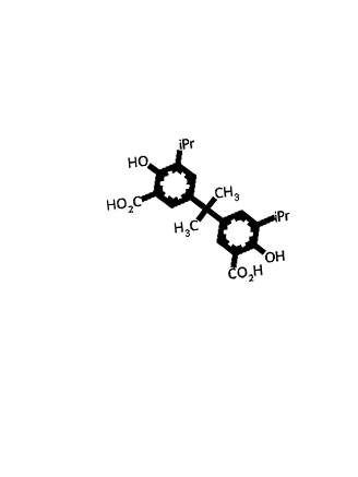 CC(C)c1cc(C(C)(C)c2cc(C(=O)O)c(O)c(C(C)C)c2)cc(C(=O)O)c1O